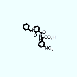 O=C(NC(C(=O)O)c1cccc([N+](=O)[O-])c1)c1cccn(Cc2ccccc2)c1=O